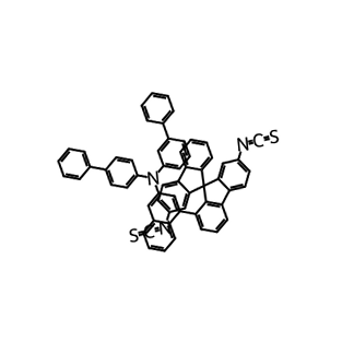 S=C=Nc1ccc2c(c1)C1(c3ccccc3-2)c2cc(N=C=S)ccc2-c2cccc(-c3cc(N(c4ccc(-c5ccccc5)cc4)c4cccc(-c5ccccc5)c4)cc4ccccc34)c21